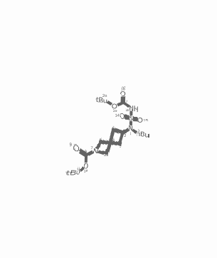 CCCCN(C1CC2(C1)CN(C(=O)OC(C)(C)C)C2)S(=O)(=O)NC(=O)OC(C)(C)C